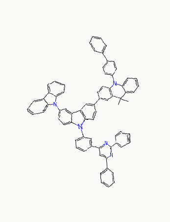 CC1(C)c2ccccc2N(c2ccc(-c3ccccc3)cc2)c2ccc(-c3ccc4c(c3)c3cc(-n5c6ccccc6c6ccccc65)ccc3n4-c3cccc(-c4cc(-c5ccccc5)nc(-c5ccccc5)n4)c3)cc21